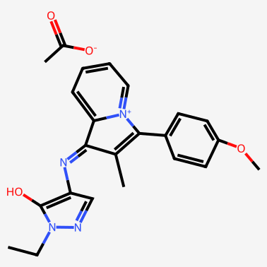 CC(=O)[O-].CCn1ncc(/N=C2\C(C)=C(c3ccc(OC)cc3)[n+]3ccccc32)c1O